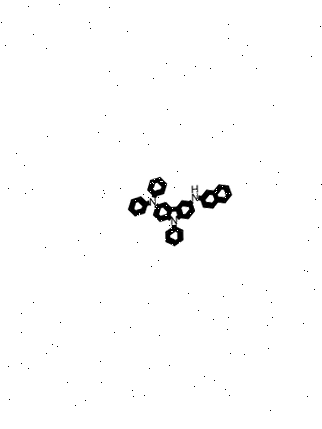 c1ccc(N(c2ccccc2)c2ccc3c(c2)c2cc(Nc4ccc5ccccc5c4)ccc2n3-c2ccccc2)cc1